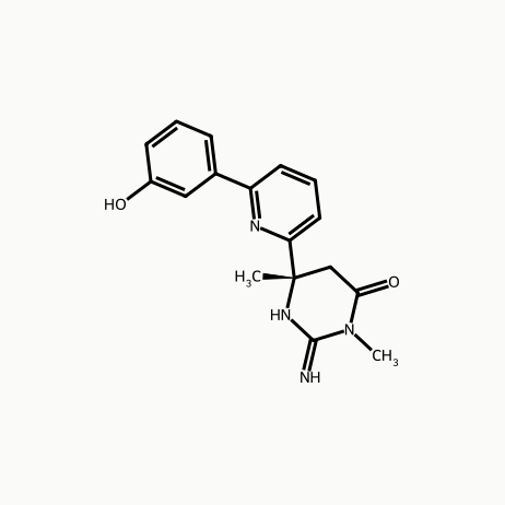 CN1C(=N)N[C@](C)(c2cccc(-c3cccc(O)c3)n2)CC1=O